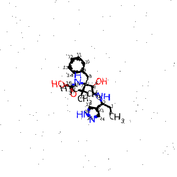 CCC(NC[C@@H](O)[C@@](Cc1ccccc1)(NC(=O)O)C(C)(C)C)c1cn[nH]c1